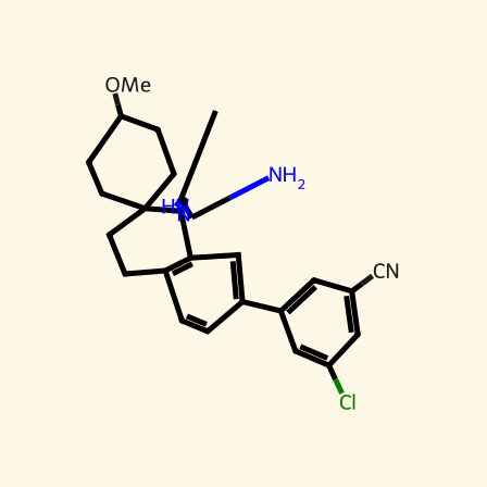 COC1CCC2(CCc3ccc(-c4cc(Cl)cc(C#N)c4)cc3C23N=C(C)C(N)N3)CC1